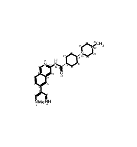 CN/C=C(\C=N)c1ccc2cnc(NC(=O)[C@H]3CC[C@@H](N4CCN(C)CC4)CC3)cc2c1